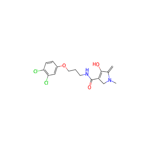 C=C1C(O)=C(C(=O)NCCCOc2ccc(Cl)c(Cl)c2)CN1C